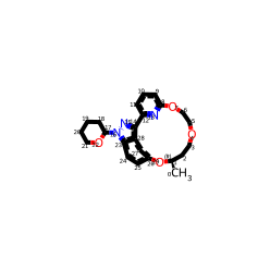 C[C@@H]1CCOCCOc2cccc(n2)-c2nn(C3CCCCO3)c3ccc(cc23)O1